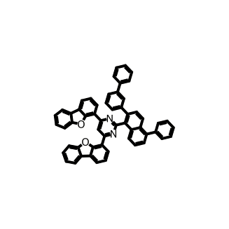 c1ccc(-c2cccc(-c3ccc4c(-c5ccccc5)cccc4c3-c3nc(-c4cccc5c4oc4ccccc45)cc(-c4cccc5c4oc4ccccc45)n3)c2)cc1